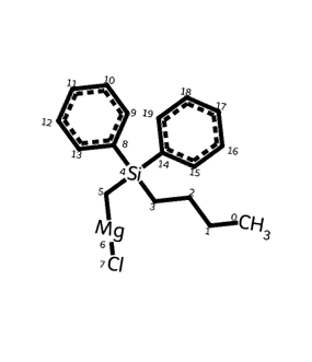 CCCC[Si]([CH2][Mg][Cl])(c1ccccc1)c1ccccc1